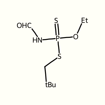 CCOP(=S)(NC=O)SCC(C)(C)C